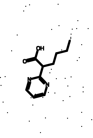 CCCCC(C(=O)O)c1ncccn1